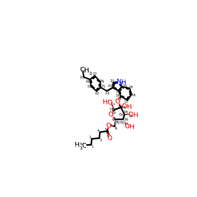 CCCCCC(=O)OC[C@H]1O[C@@H](O)[C@@](O)(Oc2cccc3[nH]cc(Cc4ccc(CC)cc4)c23)[C@@H](O)[C@@H]1O